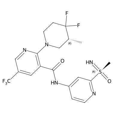 C[C@@H]1CN(c2ncc(C(F)(F)F)cc2C(=O)Nc2ccnc([S@](C)(=N)=O)c2)CCC1(F)F